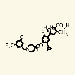 CC(CC(=O)c1cc(C2CC2)c(OCC2(F)CCN(Cc3cc(Cl)cc(C(F)(F)F)c3)CC2)cc1F)[C@H](N)C(=O)O